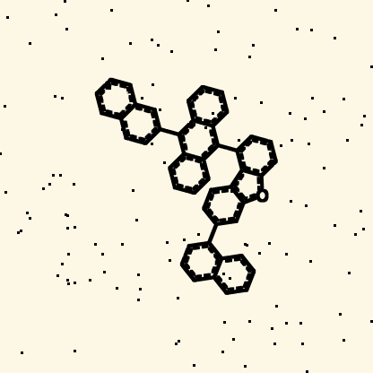 c1ccc2cc(-c3c4ccccc4c(-c4cccc5oc6cc(-c7cccc8ccccc78)ccc6c45)c4ccccc34)ccc2c1